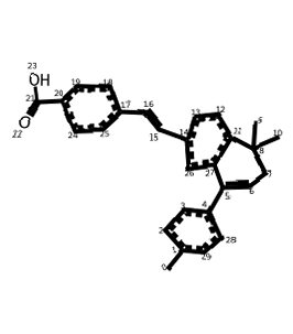 Cc1ccc(C2=CCC(C)(C)c3ccc(C=Cc4ccc(C(=O)O)cc4)cc32)cc1